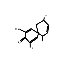 CCC1C=CC(C)C2(C=C(C(C)(C)C)C(=O)C(C(C)(C)C)=C2)C1